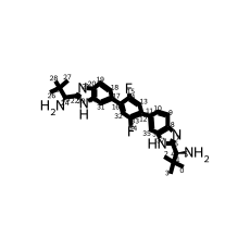 CC(C)(C)[C@H](N)c1nc2ccc(-c3cc(F)c(-c4ccc5nc([C@@H](N)C(C)(C)C)[nH]c5c4)cc3F)cc2[nH]1